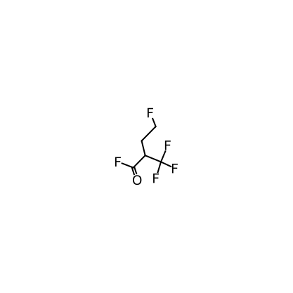 O=C(F)C(CCF)C(F)(F)F